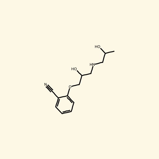 CC(O)CNCC(O)COc1ccccc1C#N